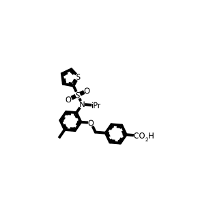 Cc1ccc(N(C(C)C)S(=O)(=O)c2cccs2)c(OCc2ccc(C(=O)O)cc2)c1